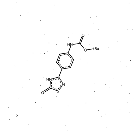 CC(C)(C)OC(=O)Nc1ccc(-c2nsc(=O)[nH]2)cc1